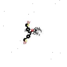 CC[Si](CC)(CC)OC(C)(C)C(Cc1ccc(-c2ccc(Br)s2)cc1)Cc1ccc(-c2ccc(Br)s2)cc1